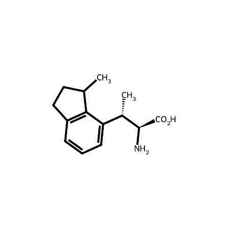 CC1CCc2cccc([C@H](C)[C@H](N)C(=O)O)c21